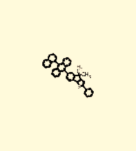 CC1(C)c2cc(-c3c4ccccc4c(-c4cccc5ccccc45)c4ccccc34)ccc2-c2sc(-c3ccccc3)cc21